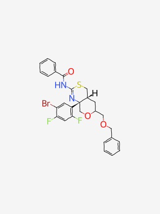 O=C(NC1=N[C@@]2(c3cc(Br)c(F)cc3F)COC(COCc3ccccc3)C[C@H]2CS1)c1ccccc1